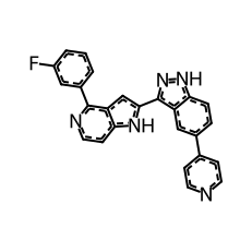 Fc1cccc(-c2nccc3[nH]c(-c4n[nH]c5ccc(-c6ccncc6)cc45)cc23)c1